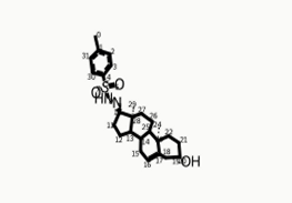 Cc1ccc(S(=O)(=O)N/N=C2\CCC3C4CC=C5C[C@@H](O)CC[C@]5(C)C4CC[C@]23C)cc1